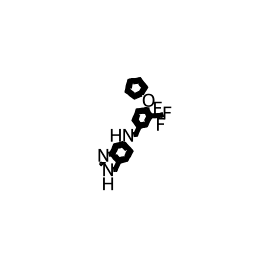 FC(F)(F)c1cc(CNc2ccc3c(c2)N=CNC3)ccc1Oc1ccccc1